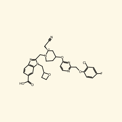 N#CC[C@H]1CC(Oc2ccnc(COc3ccc(F)cc3Cl)n2)CCN1Cc1nc2ccc(C(=O)O)cc2n1CC1CCO1